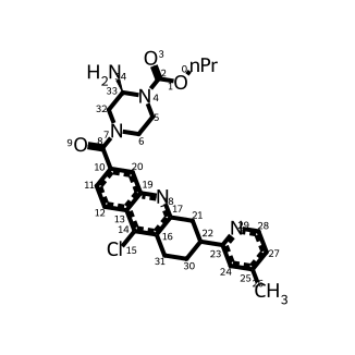 CCCOC(=O)N1CCN(C(=O)c2ccc3c(Cl)c4c(nc3c2)CC(c2cc(C)ccn2)CC4)C[C@H]1N